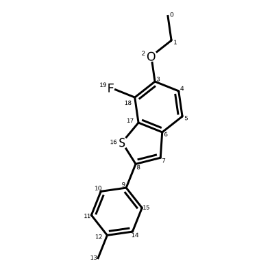 CCOc1ccc2cc(-c3ccc(C)cc3)sc2c1F